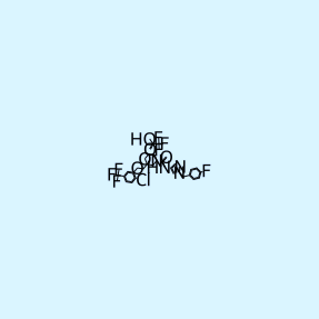 O=C(Nc1cnn(Cc2ccc(F)cc2)c1)N1CCOC(COc2cc(C(F)(F)F)ccc2Cl)C1.O=C(O)C(F)(F)F